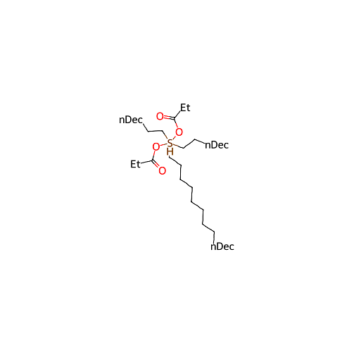 CCCCCCCCCCCCCCCCCC[SH](CCCCCCCCCCCC)(CCCCCCCCCCCC)(OC(=O)CC)OC(=O)CC